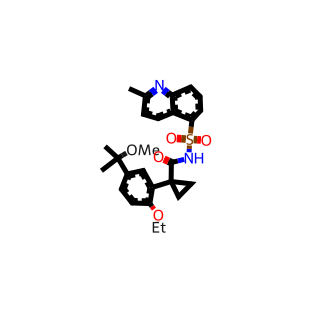 CCOc1ccc(C(C)(C)OC)cc1C1(C(=O)NS(=O)(=O)c2cccc3nc(C)ccc23)CC1